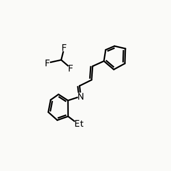 CCc1ccccc1N=CC=Cc1ccccc1.FC(F)F